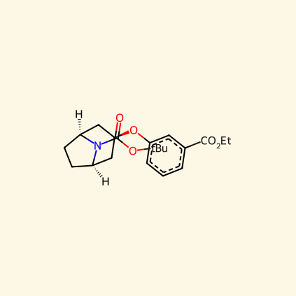 CCOC(=O)c1cccc(O[C@H]2C[C@H]3CC[C@@H](C2)N3C(=O)OC(C)(C)C)c1